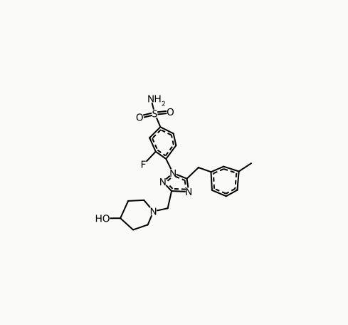 Cc1cccc(Cc2nc(CN3CCC(O)CC3)nn2-c2ccc(S(N)(=O)=O)cc2F)c1